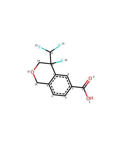 O=C(O)c1ccc2c(c1)C(F)(C(F)F)COC2